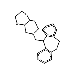 c1ccc2c(c1)CCc1ccccc1C2CN1CCC2OCCOC2C1